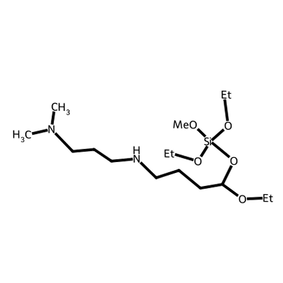 CCOC(CCCNCCCN(C)C)O[Si](OC)(OCC)OCC